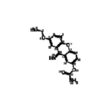 CC(C)(C)COc1cnc2oc3ccc(OC(N)=O)cc3c(=N)c2c1